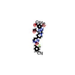 COC(=O)c1cc(Br)c2nc(CN3CCC(c4ccnc(OCc5ccc(C#N)cc5F)n4)CC3)n(C[C@@H]3CCO3)c2c1